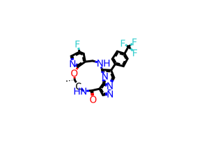 C[C@H]1CNC(=O)c2cnn3cc(-c4ccc(C(F)(F)F)cc4)c(nc23)NCc2cc(F)cnc2O1